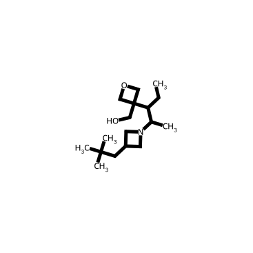 CCC(C(C)N1CC(CC(C)(C)C)C1)C1(CO)COC1